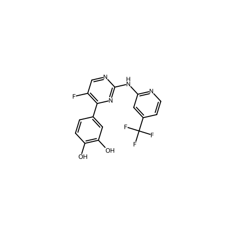 Oc1ccc(-c2nc(Nc3cc(C(F)(F)F)ccn3)ncc2F)cc1O